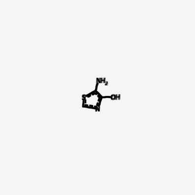 Nc1scnc1O